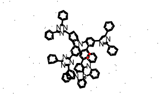 c1ccc(-c2cc(-c3ccc(-n4c5ccc(-c6nc(-c7ccccc7)nc(-c7ccccc7)n6)cc5c5cc(-c6nc(-c7ccccc7)nc(-c7ccccc7)n6)ccc54)c(-c4ccc(-c5ccc6c7c5N(c5ccccc5)c5ccccc5B7c5ccccc5N6c5ccccc5)cc4)c3)nc(-c3ccccc3)n2)cc1